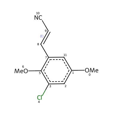 COc1cc(Cl)c(OC)c(/C=C/C#N)c1